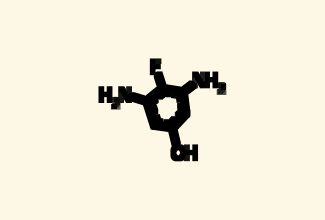 Nc1cc(O)cc(N)c1F